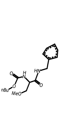 CCCCOC(=O)NC(COC)C(=O)NCc1ccccc1